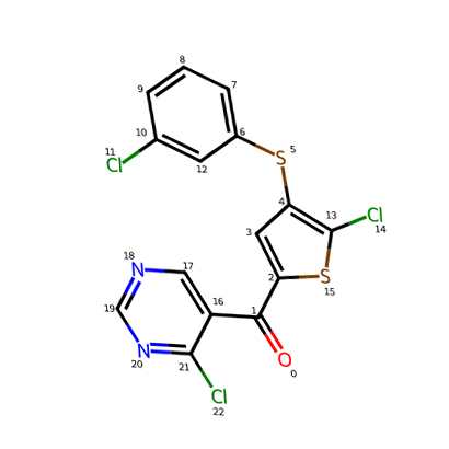 O=C(c1cc(Sc2cccc(Cl)c2)c(Cl)s1)c1cncnc1Cl